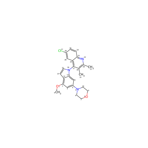 COc1cc(N2CCOCC2)cc2c1ccn2-c1c(C)c(C)nc2ccc(Cl)cc12